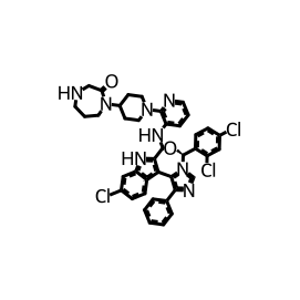 C[C@@H](c1ccc(Cl)cc1Cl)n1cnc(-c2ccccc2)c1-c1c(C(=O)Nc2cccnc2N2CCC(N3CCCNCC3=O)CC2)[nH]c2cc(Cl)ccc12